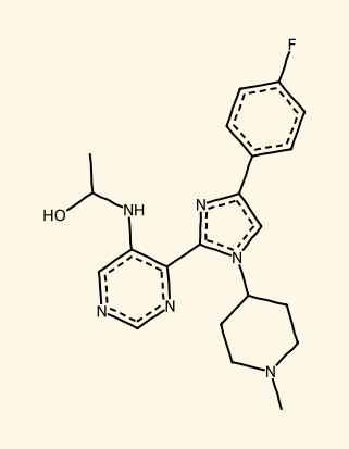 CC(O)Nc1cncnc1-c1nc(-c2ccc(F)cc2)cn1C1CCN(C)CC1